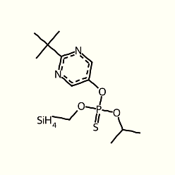 CCOP(=S)(Oc1cnc(C(C)(C)C)nc1)OC(C)C.[SiH4]